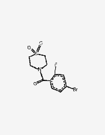 O=C(c1ccc(Br)cc1F)N1CCS(=O)(=O)CC1